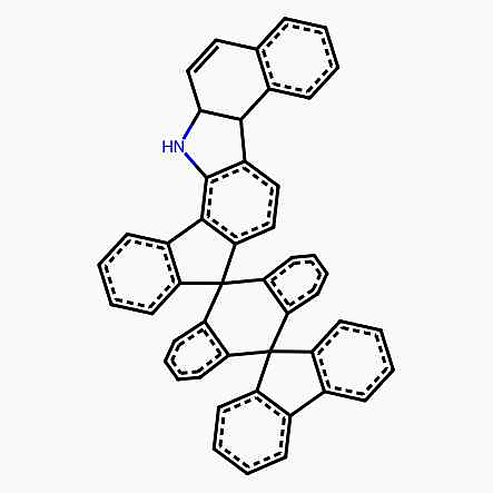 C1=CC2Nc3c(ccc4c3-c3ccccc3C43c4ccccc4C4(c5ccccc5-c5ccccc54)c4ccccc43)C2c2ccccc21